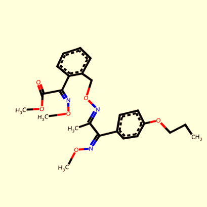 CCCOc1ccc(C(=NOC)C(C)=NOCc2ccccc2C(=NOC)C(=O)OC)cc1